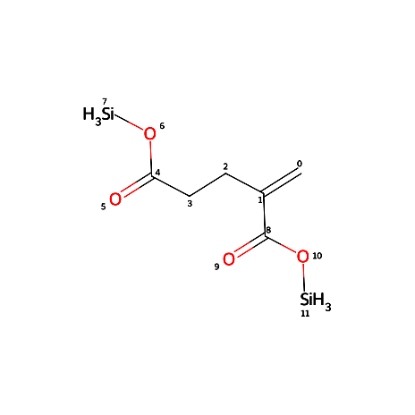 C=C(CCC(=O)O[SiH3])C(=O)O[SiH3]